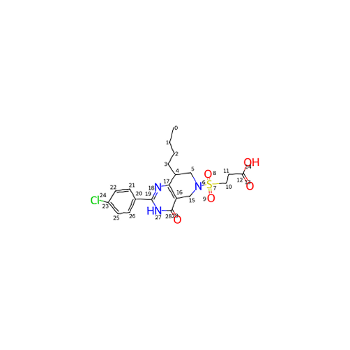 CCCCC1CN(S(=O)(=O)CCC(=O)O)Cc2c1nc(-c1ccc(Cl)cc1)[nH]c2=O